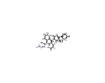 C=C/C=C\C(=C)c1c2ccccc2c(-c2ccc3c(c2)oc2ccccc23)c2ccccc12